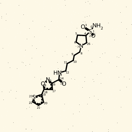 NS(=O)(=O)C1CCN(CCCCCNC(=O)c2cc(-c3cccs3)on2)C1